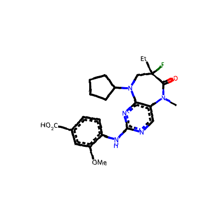 CCC1(F)CN(C2CCCC2)c2nc(Nc3ccc(C(=O)O)cc3OC)ncc2N(C)C1=O